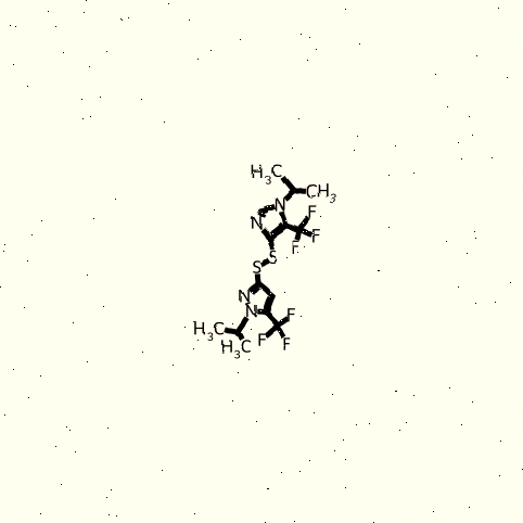 CC(C)n1cnc(SSc2cc(C(F)(F)F)n(C(C)C)n2)c1C(F)(F)F